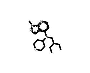 CCC(CC)CN(c1ccnc2c1cnn2C)C1CCOCC1